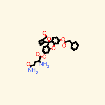 NC(=O)CC[C@H](N)C(=O)Oc1ccc2c(c1)Oc1cc(OC(=O)Cc3ccccc3)ccc1C21OC(=O)c2ccccc21